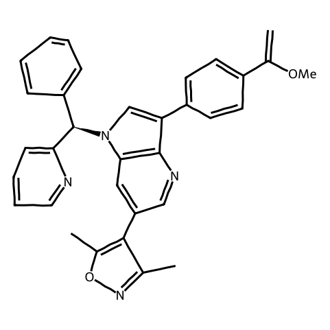 C=C(OC)c1ccc(-c2cn([C@H](c3ccccc3)c3ccccn3)c3cc(-c4c(C)noc4C)cnc23)cc1